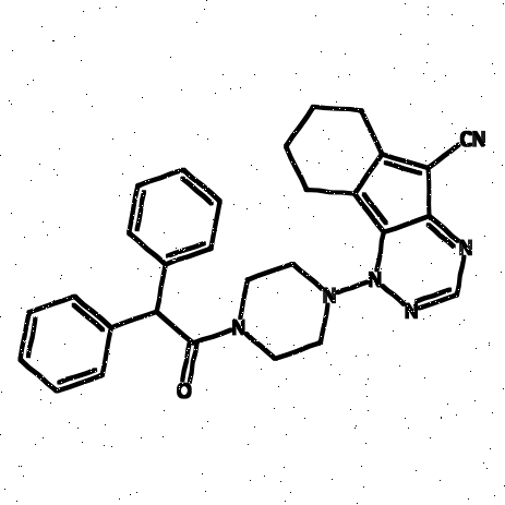 N#Cc1c2ncnn(N3CCN(C(=O)C(c4ccccc4)c4ccccc4)CC3)c-2c2c1CCCC2